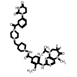 COC1=CC(C(=O)NN2CCC(CN3CCN(C(=O)C4C=CC=C(N5CCC(=O)NC5=O)C4)CC3)CC2)CC=C1Nc1ncc2c(n1)N(C(C)C)CC(F)(F)C(=O)N2C